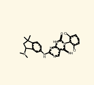 CN(C)C1CC(C)(C)c2ccc(Nc3ncc4c(=N)n(-c5c(Cl)cccc5Cl)c(=O)[nH]c4n3)cc21